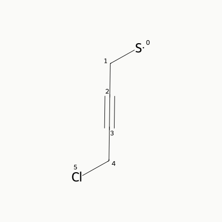 [S]CC#CCCl